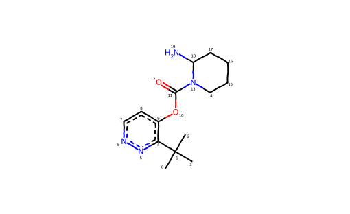 CC(C)(C)c1nnccc1OC(=O)N1CCCCC1N